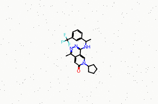 Cc1nnc(NC(C)c2cccc(C(F)(F)F)c2)c2cn(C3CCCC3)c(=O)cc12